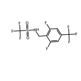 O=S(=O)(NCc1c(F)cc(C(F)(F)F)cc1F)C(F)(F)F